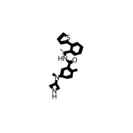 Cc1ccc(N(C)C2CNC2)cc1C(=O)N[C@H](C)c1ccccc1-c1cccs1